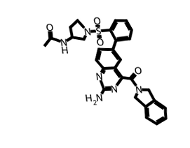 CC(=O)NC1CCN(S(=O)(=O)c2ccccc2-c2ccc3nc(N)nc(C(=O)N4Cc5ccccc5C4)c3c2)C1